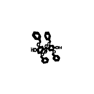 O=S(=O)(c1cc(OCc2ccccc2)c(O)cc1OCc1ccccc1)c1cc(OCc2ccccc2)c(O)cc1OCc1ccccc1